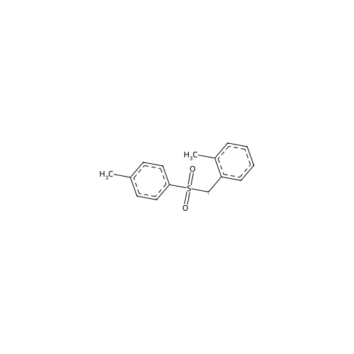 Cc1ccc(S(=O)(=O)[CH]c2ccccc2C)cc1